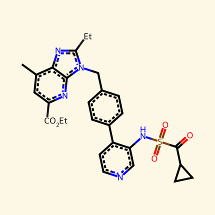 CCOC(=O)c1cc(C)c2nc(CC)n(Cc3ccc(-c4ccncc4NS(=O)(=O)C(=O)C4CC4)cc3)c2n1